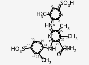 Cc1cc(S(=O)(=O)O)ccc1Nc1nc(Nc2ccc(S(=O)(=O)O)cc2C)c(C(N)=O)c(C)c1C